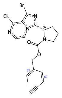 C#C/C=C\C(=C/C)COC(=O)N1CCC[C@H]1c1nc(Br)c2c(Cl)nccn12